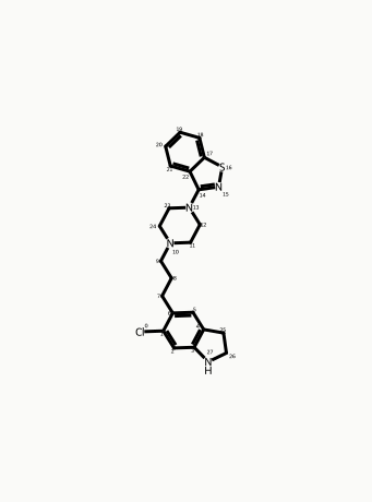 Clc1cc2c(cc1CCCN1CCN(c3nsc4ccccc34)CC1)CCN2